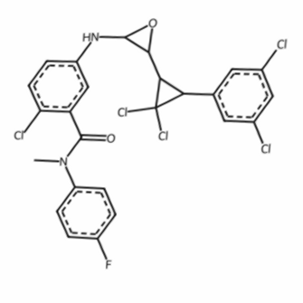 CN(C(=O)c1cc(NC2OC2C2C(c3cc(Cl)cc(Cl)c3)C2(Cl)Cl)ccc1Cl)c1ccc(F)cc1